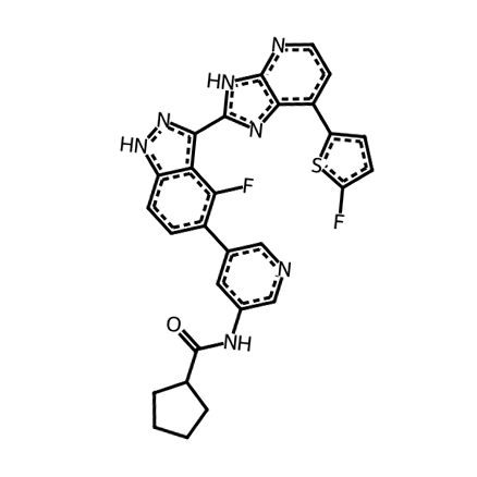 O=C(Nc1cncc(-c2ccc3[nH]nc(-c4nc5c(-c6ccc(F)s6)ccnc5[nH]4)c3c2F)c1)C1CCCC1